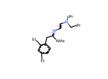 CCCN(/C=C/N=C(/Cc1ccc(CC)cc1CC)NC)CC(C)C